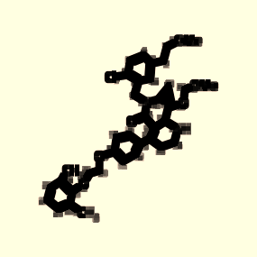 COCCc1ccc(Cl)c(CN(C(=O)C2=C(c3ccc(OCCOc4c(C)cccc4C)cc3)CCNC2COCOC)C2CC2)c1